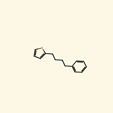 c1ccc(CCCCc2cccs2)cc1